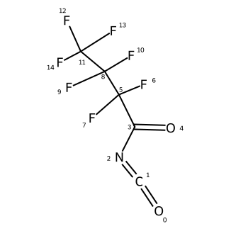 O=C=NC(=O)C(F)(F)C(F)(F)C(F)(F)F